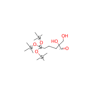 C[Si](C)(C)O[Si](CCCC(O)([C]=O)CO)(O[Si](C)(C)C)O[Si](C)(C)C